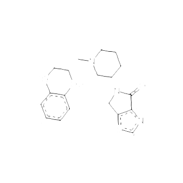 O=C1c2ncsc2CN1[C@H]1CCCN(C[C@H]2COc3ccccc3O2)C1